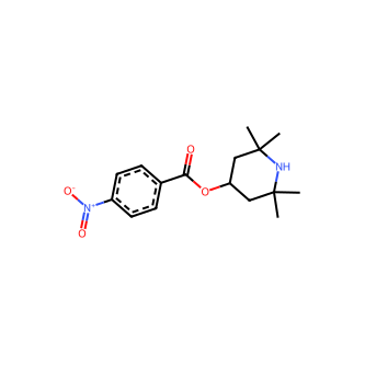 CC1(C)CC(OC(=O)c2ccc([N+](=O)[O-])cc2)CC(C)(C)N1